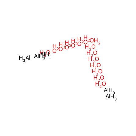 O.O.O.O.O.O.O.O.O.O.O.O.O.O.O.[AlH3].[AlH3].[AlH3].[AlH3].[AlH3]